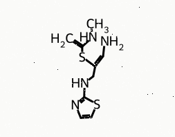 C=C(NC)S/C(=C\N)CNc1nccs1